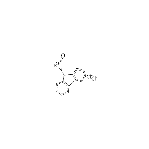 O=[C]1[Ti+2][CH]1C1c2ccccc2-c2ccccc21.[Cl-].[Cl-]